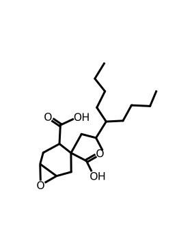 CCCCC(CCCC)C(C)CC1(C(=O)O)CC2OC2CC1C(=O)O